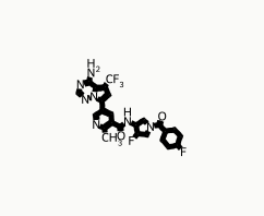 Cc1ncc(-c2cc(C(F)(F)F)c3c(N)ncnn23)cc1C(=O)NC1CN(C(=O)C2CCC(F)CC2)CC1F